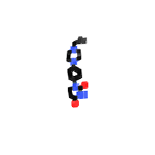 CC(=O)CN1CCN(c2ccc(N3CCC(=O)NC3=O)cc2)CC1